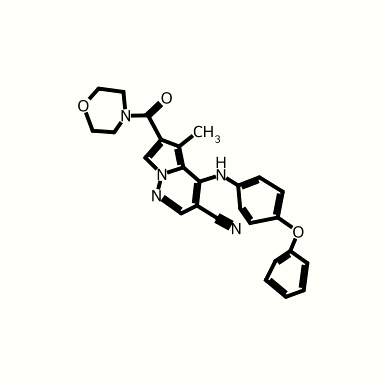 Cc1c(C(=O)N2CCOCC2)cn2ncc(C#N)c(Nc3ccc(Oc4ccccc4)cc3)c12